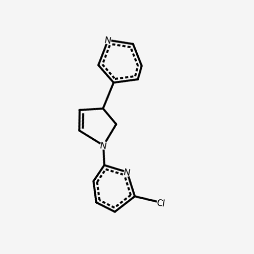 Clc1cccc(N2C=CC(c3cccnc3)C2)n1